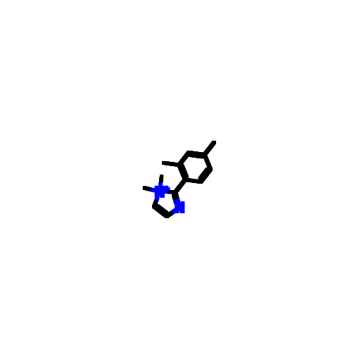 Cc1ccc(C2=NC=C[N+]2(C)C)c(C)c1